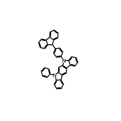 c1ccc(-n2c3ccccc3c3cc4c5ccccc5n(-c5ccc(C6c7ccccc7-c7ccccc76)cc5)c4cc32)cc1